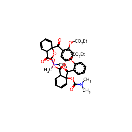 CCOC(=O)Oc1ccccc1C(=O)C1(OC(=O)N(C)C)C=CC=CC1C(=O)OOC(=O)C1C=CC=CC1(OC(=O)N(C)C)C(=O)c1ccccc1OC(=O)OCC